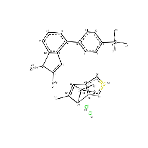 CC(C)C1=Cc2c(-c3ccc([Si](C)(C)C)cc3)cccc2[CH]1[Zr+2].CC1=C2c3cscc3C1[Si]2(C)C.[Cl-].[Cl-]